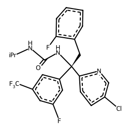 CC(C)NC(=O)N[C@@](Cc1ccccc1F)(c1cc(F)cc(C(F)(F)F)c1)c1ccc(Cl)cn1